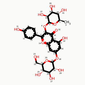 C[C@H]1OC(Oc2c(-c3ccc(O)cc3)oc3cc(OC4O[C@H](CO)[C@@H](O)[C@H](O)[C@H]4O)cc(O)c3c2=O)[C@@H](O)[C@@H](O)[C@@H]1O